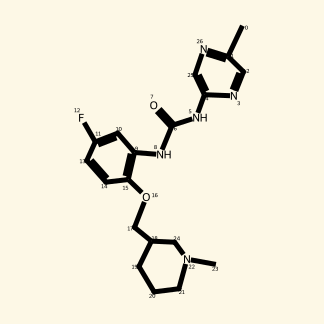 Cc1cnc(NC(=O)Nc2cc(F)ccc2OCC2CCCN(C)C2)cn1